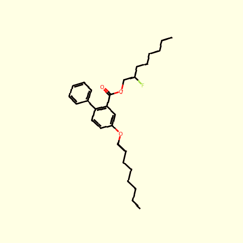 CCCCCCCCOc1ccc(-c2ccccc2)c(C(=O)OCC(F)CCCCCC)c1